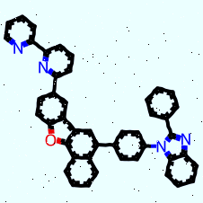 c1ccc(-c2nc3ccccc3n2-c2ccc(-c3cc4c5cc(-c6cccc(-c7ccccn7)n6)ccc5oc4c4ccccc34)cc2)cc1